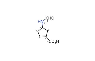 O=CNC1CC=C(C(=O)O)C1